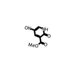 COC(=O)c1cc(N=O)c[nH]c1=O